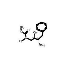 CCN(C[C@@H](O)[C@H](Cc1ccccc1)NC)C(=O)OC(C)(C)C